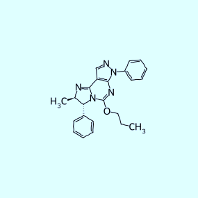 CCCOC1=Nc2c(cnn2-c2ccccc2)C2=N[C@H](C)[C@@H](c3ccccc3)N12